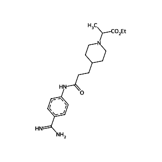 CCOC(=O)C(C)N1CCC(CCC(=O)Nc2ccc(C(=N)N)cc2)CC1